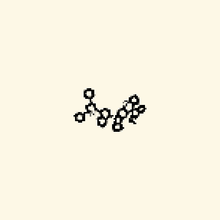 c1ccc(-c2cc(-c3ccccc3)nc(-c3ccc(-n4c5ccccc5c5cc6c(cc54)Sc4ccccc4C64c5ccccc5-c5ccccc54)c4ccccc34)c2)cc1